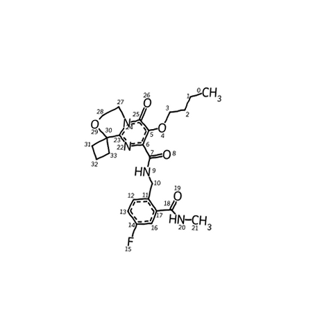 CCCCOc1c(C(=O)NCc2ccc(F)cc2C(=O)NC)nc2n(c1=O)CCOC21CCC1